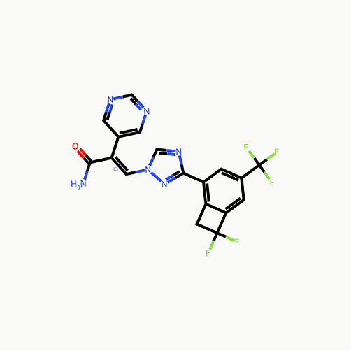 NC(=O)/C(=C/n1cnc(-c2cc(C(F)(F)F)cc3c2CC3(F)F)n1)c1cncnc1